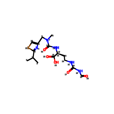 CC(C)c1nc(CN(C)C(=O)N[C@@H](CCNC(=O)NC=O)C(=O)O)cs1